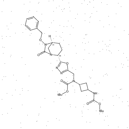 CC(C)(C)OC(=O)NC1CC(N(Cc2nnc([C@H]3CC[C@H]4CN3C(=O)N4OCc3ccccc3)o2)C(=O)OC(C)(C)C)C1